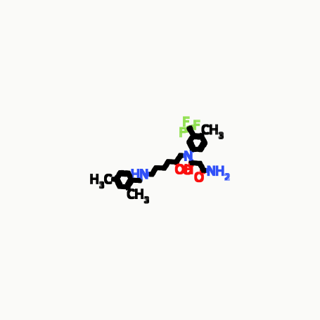 Cc1ccc(CNCCCCC(O)CN(C(=O)CC(N)=O)c2ccc(C)c(C(F)(F)F)c2)c(C)c1